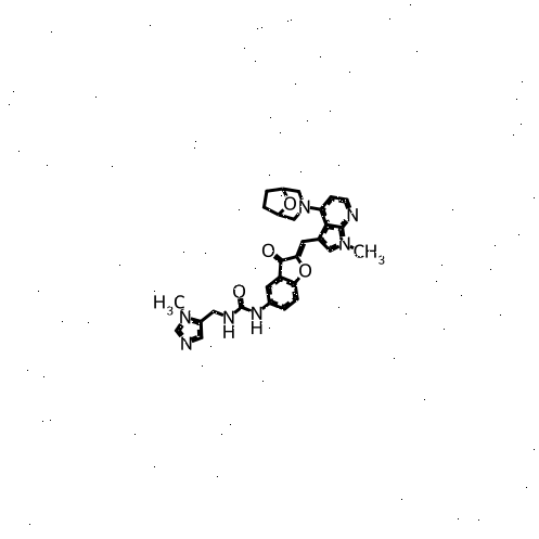 Cn1cncc1CNC(=O)Nc1ccc2c(c1)C(=O)C(=Cc1cn(C)c3nccc(N4CC5CCC(C4)O5)c13)O2